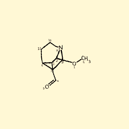 COC1C(C=O)C2CCN1CC2